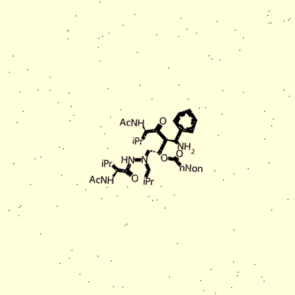 CCCCCCCCCC(=O)O[C@H](CN(CC(C)C)NC(=O)[C@@H](NC(C)=O)C(C)C)[C@@H](C(=O)[C@@H](NC(C)=O)C(C)C)C(N)c1ccccc1